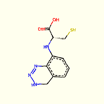 O=C(O)[C@H](CS)Nc1cccc2c1N=NNC2